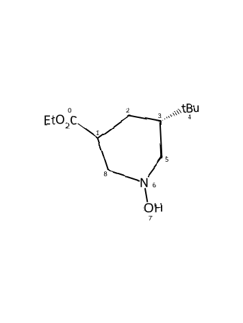 CCOC(=O)C1C[C@H](C(C)(C)C)CN(O)C1